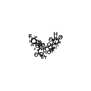 CC(C)OC(=O)[C@H](C)NP(=O)(OC[C@H]1O[C@@H](n2ccc(=O)[nH]c2=O)[C@](C)(F)[C@@H]1O)Oc1ccc(F)cc1